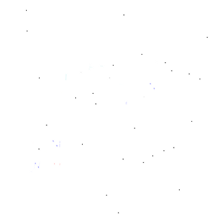 NS(=O)(=O)Nc1cccc(Sc2ccc(/C=C/C(=O)N3CCOCC3)c(C(F)(F)F)c2C(F)(F)F)c1